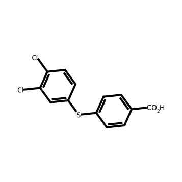 O=C(O)c1ccc(Sc2ccc(Cl)c(Cl)c2)cc1